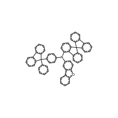 c1ccc(C2(c3ccc(N(c4ccc5oc6ccccc6c5c4)c4cccc5c4-c4ccccc4C54c5ccccc5-c5ccccc54)cc3)c3ccccc3-c3ccccc32)cc1